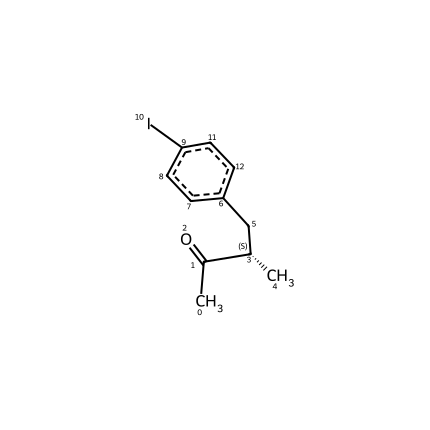 CC(=O)[C@@H](C)Cc1ccc(I)cc1